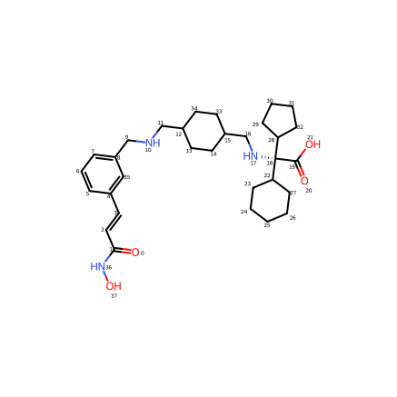 O=C(/C=C/c1cccc(CNCC2CCC(CN[C@](C(=O)O)(C3CCCCC3)C3CCCC3)CC2)c1)NO